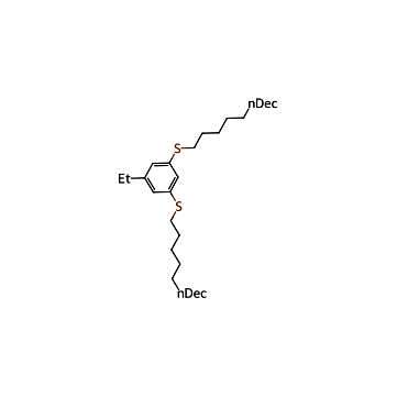 CCCCCCCCCCCCCCCSc1cc(CC)cc(SCCCCCCCCCCCCCCC)c1